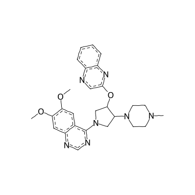 COc1cc2ncnc(N3CC(Oc4cnc5ccccc5n4)C(N4CCN(C)CC4)C3)c2cc1OC